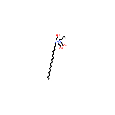 CCCCCCCCCCCCCCCCCCN(CCO)[N+](CCC)(CCO)CCO